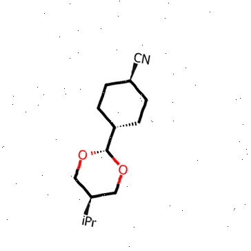 CC(C)[C@H]1CO[C@H]([C@H]2CC[C@H](C#N)CC2)OC1